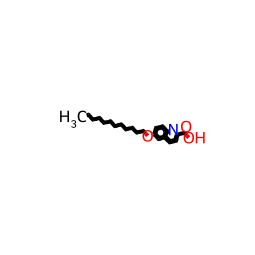 CCCCCCCCCCCCOc1ccc2nc(C(=O)O)ccc2c1